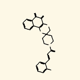 O=C1C(=O)c2ccccc2C2=C1SCC1(CCN(C(=O)C=Cc3ccccc3Cl)CC1)O2